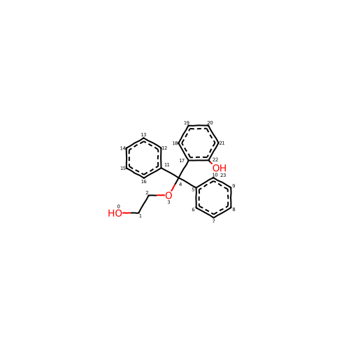 OCCOC(c1ccccc1)(c1ccccc1)c1ccccc1O